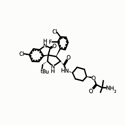 CC(C)(C)C[C@H]1N[C@@H](C(=O)N[C@H]2CC[C@H](OC(=O)C(C)(C)N)CC2)[C@H](c2cccc(Cl)c2F)[C@@]12C(=O)Nc1cc(Cl)ccc12